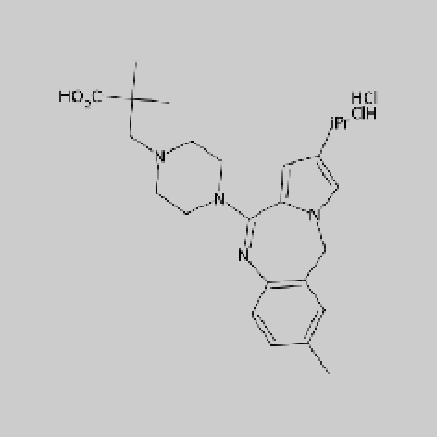 Cc1ccc2c(c1)Cn1cc(C(C)C)cc1C(N1CCN(CC(C)(C)C(=O)O)CC1)=N2.Cl.Cl